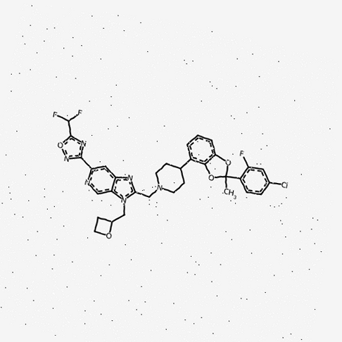 CC1(c2ccc(Cl)cc2F)Oc2cccc(C3CCN(Cc4nc5cc(-c6noc(C(F)F)n6)ncc5n4CC4CCO4)CC3)c2O1